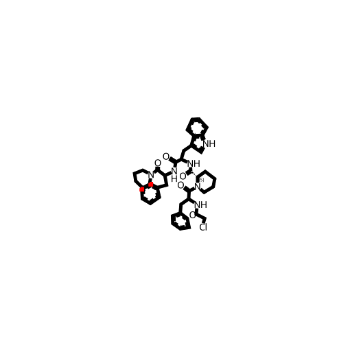 O=C(CCl)NC(Cc1ccccc1)C(=O)N1CCCC[C@H]1C(=O)NC(Cc1c[nH]c2ccccc12)C(=O)NC(Cc1ccccc1)C(=O)N1CCCCC1